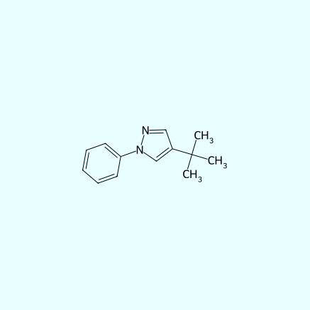 CC(C)(C)c1cnn(-c2ccccc2)c1